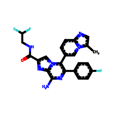 Cc1cnc2ccc(-c3c(-c4ccc(F)cc4)nc(N)c4nc(C(=O)NCC(F)F)cn34)cn12